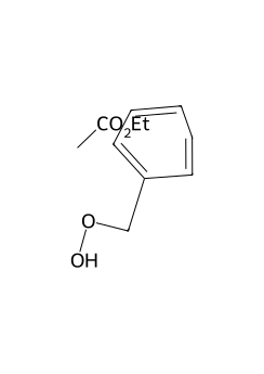 CCOC(C)=O.OOCc1ccccc1